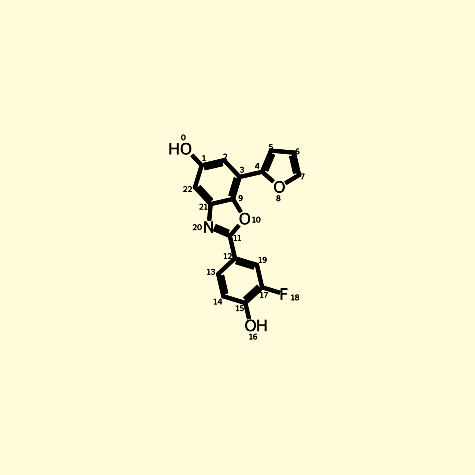 Oc1cc(-c2ccco2)c2oc(-c3ccc(O)c(F)c3)nc2c1